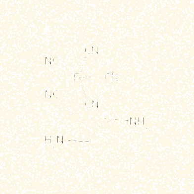 N#[C][Fe]([C]#N)([C]#N)([C]#N)[C]#N.NCCN